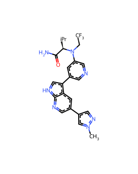 CC(C)[C@H](C(N)=O)N(CC(F)(F)F)c1cncc(-c2c[nH]c3ncc(-c4cnn(C)c4)cc23)c1